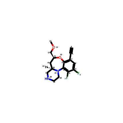 C#Cc1cc(F)c(F)c2c1O[C@H](COC)C[C@@H]1CNCCN21